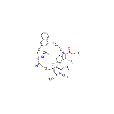 CCC1C=C2CSCC(=N)/C=C(\NC)CCc3cc(c4ccccc4c3)OCCCn3c(C(=O)OC)c(C)c4c(c(Cl)ccc43)C2=C(C)N1C